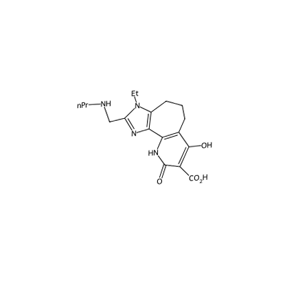 CCCNCc1nc2c(n1CC)CCCc1c-2[nH]c(=O)c(C(=O)O)c1O